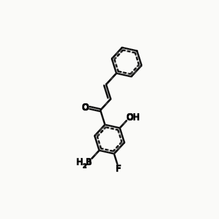 Bc1cc(C(=O)/C=C/c2ccccc2)c(O)cc1F